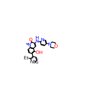 C/C=C\C(=C(\CC)CCCC)c1ccc2c(cc(Nc3ccc(N4CCOCC4)cn3)c(=O)n2C)c1O